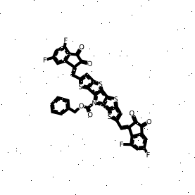 O=C1C(=O)c2c(F)cc(F)cc2/C1=C/c1cc2sc3c4sc5cc(/C=C6\C(=O)C(=O)c7cc(F)cc(F)c76)sc5c4n(C(=O)OCc4ccccc4)c3c2s1